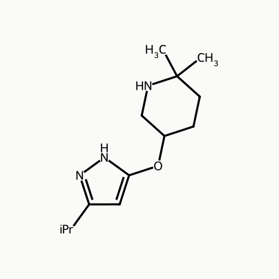 CC(C)c1cc(OC2CCC(C)(C)NC2)[nH]n1